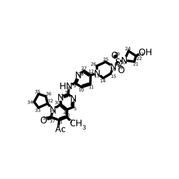 CC(=O)c1c(C)c2cnc(Nc3ccc(N4CCN(S(=O)(=O)N5CC(O)C5)CC4)cn3)nc2n(C2CCCC2)c1=O